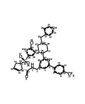 O=C(NCc1cc(-c2ccc(C(F)(F)F)cc2)nc(N2CCN(Cc3ccncc3)CC2)c1)[C@@H]1C=CCN1S(=O)(=O)c1ccc(Cl)s1